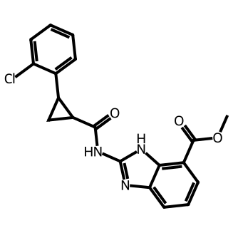 COC(=O)c1cccc2nc(NC(=O)C3CC3c3ccccc3Cl)[nH]c12